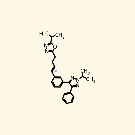 CC(C)c1nnc(CC/C=C/c2cccc(-c3nn(C(C)C)nc3-c3ccccc3)c2)o1